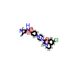 Cc1cc(NS(=O)(=O)c2ccc(N3CCN(C(=O)[C@@H](C)N4CCCc5cc(Cl)ccc54)CC3)cc2)sn1